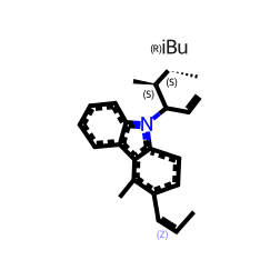 C=CC([C@@H](C)[C@@H](C)[C@H](C)CC)n1c2ccccc2c2c(C)c(/C=C\C)ccc21